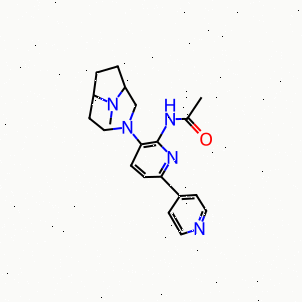 CC(=O)Nc1nc(-c2ccncc2)ccc1N1CCC2CCC(C1)N2C